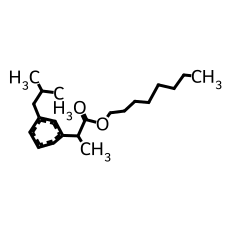 CCCCCCCCOC(=O)C(C)c1cccc(CC(C)C)c1